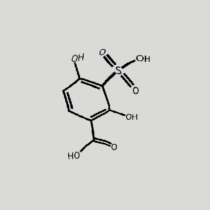 O=C(O)c1ccc(O)c(S(=O)(=O)O)c1O